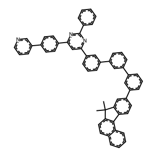 CC1(C)c2cc(-c3cccc(-c4cccc(-c5cccc(-c6cc(-c7ccc(-c8cccnc8)cc7)nc(-c7ccccc7)n6)c5)c4)c3)ccc2-c2c1ccc1ccccc21